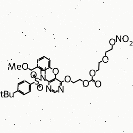 COCc1cccc(Oc2c(NS(=O)(=O)c3ccc(C(C)(C)C)cc3)ncnc2OCCOC(=O)OCCOCCO[N+](=O)[O-])c1